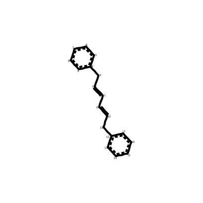 C(/C=C/Cc1ccccc1)=C\Cc1ccccc1